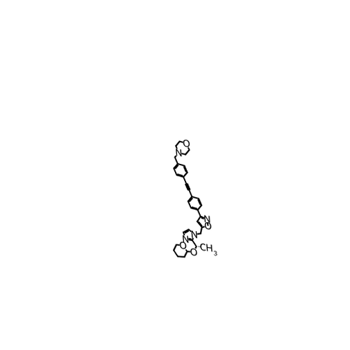 C[C@H](OC1CCCCO1)c1nccn1Cc1cc(-c2ccc(C#Cc3ccc(CN4CCOCC4)cc3)cc2)no1